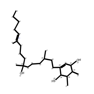 CCCC/C=C(\C)CCCC(C)(O)CCCC(C)CCC1=CC(O)C(C)C(C)C1S